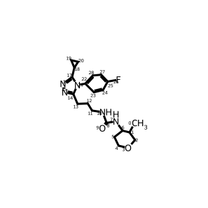 CC1COCCC1NC(=O)NCCCc1nnc(C2CC2)n1-c1ccc(F)cc1